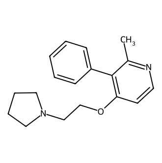 Cc1nccc(OCCN2CCCC2)c1-c1ccccc1